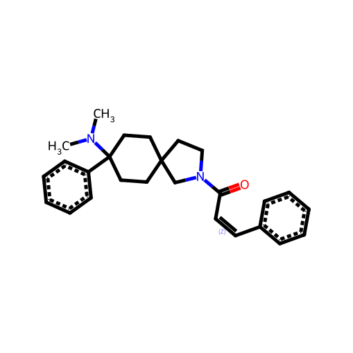 CN(C)C1(c2ccccc2)CCC2(CCN(C(=O)/C=C\c3ccccc3)C2)CC1